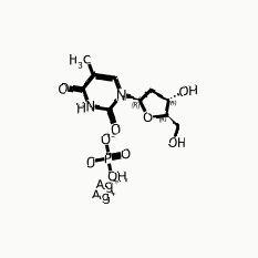 Cc1cn([C@H]2C[C@H](O)[C@@H](CO)O2)c(=O)[nH]c1=O.O=P([O-])([O-])O.[Ag+].[Ag+]